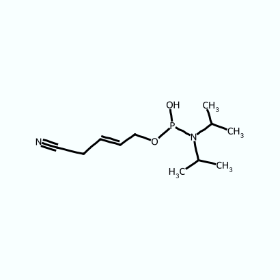 CC(C)N(C(C)C)P(O)OCC=CCC#N